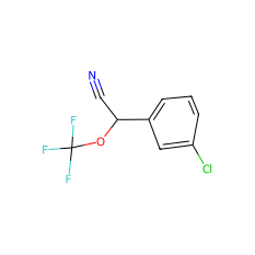 N#CC(OC(F)(F)F)c1cccc(Cl)c1